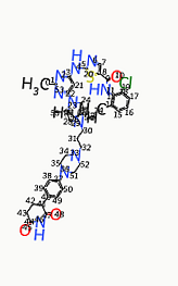 Cc1nc(Nc2ncc(C(=O)Nc3c(C)cccc3Cl)s2)cc(N2C[C@H]3C[C@@H]2CN3CCCN2CCN(c3ccc(C4CCC(=O)NC4=O)cc3)CC2)n1